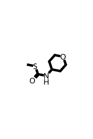 CSC(=O)NC1CCOCC1